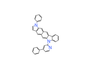 c1ccc(-c2ccnc(-n3c4ccccc4c4cc5cc6c(ccn6-c6ccccc6)cc5cc43)c2)cc1